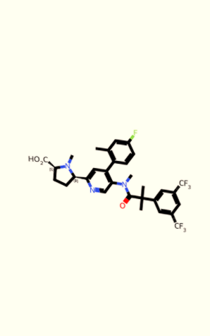 Cc1cc(F)ccc1-c1cc([C@H]2CC[C@@H](C(=O)O)N2C)ncc1N(C)C(=O)C(C)(C)c1cc(C(F)(F)F)cc(C(F)(F)F)c1